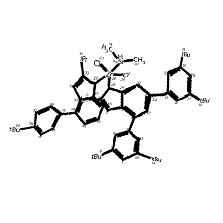 CC1=Cc2c(-c3cc(C(C)(C)C)cc(C(C)(C)C)c3)cc(-c3cc(C(C)(C)C)cc(C(C)(C)C)c3)cc2[CH]1[Zr]([Cl])([Cl])([CH]1C(C(C)C)=Cc2c(-c3ccc(C(C)(C)C)cc3)cccc21)[SiH](C)C